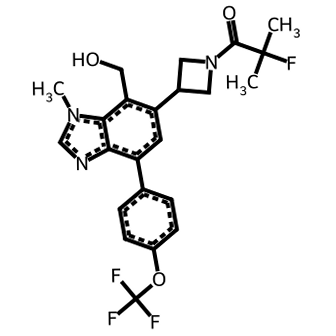 Cn1cnc2c(-c3ccc(OC(F)(F)F)cc3)cc(C3CN(C(=O)C(C)(C)F)C3)c(CO)c21